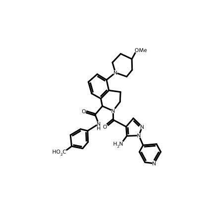 COC1CCN(c2cccc3c2CCN(C(=O)c2cnn(-c4ccncc4)c2N)C3C(=O)Nc2ccc(C(=O)O)cc2)CC1